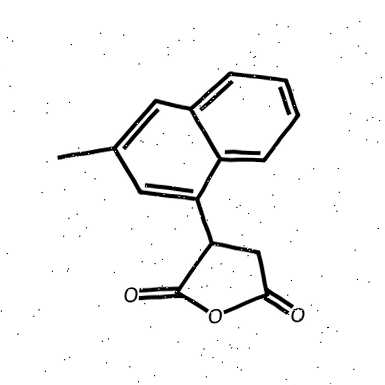 Cc1cc(C2CC(=O)OC2=O)c2ccccc2c1